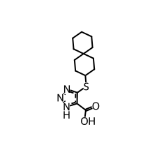 O=C(O)c1[nH]nnc1SC1CCC2(CCCCC2)CC1